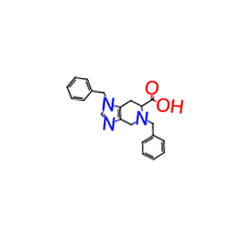 O=C(O)C1Cc2c(ncn2Cc2ccccc2)CN1Cc1ccccc1